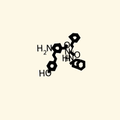 CC1(NC(=O)[C@H](CCc2ccccc2)NC(=O)c2ccc(N)c(CCc3ccc(O)cc3)c2)CC2CCCC(C2)C1